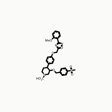 COc1ccccc1-c1noc(COc2ccc(C3CCN(C(=O)O)CC3OCc3ccc(S(C)(=O)=O)cc3)cc2)n1